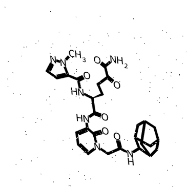 Cn1nccc1C(=O)N[C@@H](CCC(=O)C(N)=O)C(=O)Nc1cccn(CC(=O)NC2C3CC4CC(C3)CC2C4)c1=O